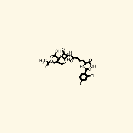 CC(=O)OCC1=C(C(=O)O)N2C(=O)[C@@H](NC(=O)CCCC(NC(=O)c3ccc(Cl)cc3Cl)C(=O)O)[C@H]2SC1